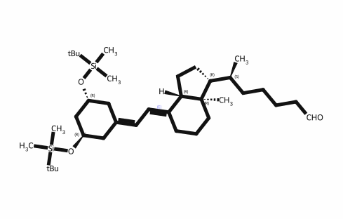 C[C@@H](CCCCC=O)[C@H]1CC[C@H]2/C(=C/C=C3C[C@@H](O[Si](C)(C)C(C)(C)C)C[C@H](O[Si](C)(C)C(C)(C)C)C3)CCC[C@]12C